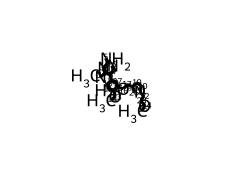 CNc1nc(N)ncc1-c1ccc(OC)c(OCC2CCN(CCOC)C2)c1